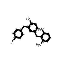 Cc1[c]ccc(C)c1Cc1ccc(O)c(Cc2ccc(F)cc2)c1